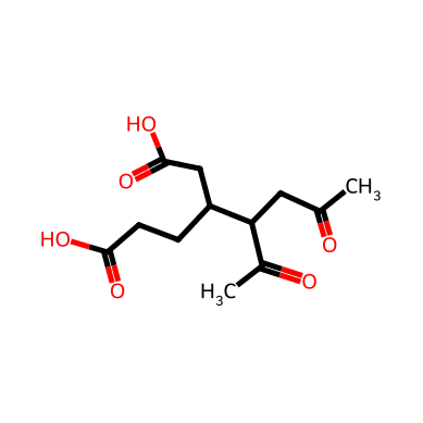 CC(=O)CC(C(C)=O)C(CCC(=O)O)CC(=O)O